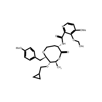 COc1ccc(C[C@H]2OCC[C@H](NC(=O)c3nccc(OC)c3OCOC(C)=O)C(=O)O[C@@H](C)[C@@H]2OCC2CC2)cc1